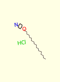 CCCCCCCCCCCCCCCCCCOc1ccc(N(C)C)cc1.Cl